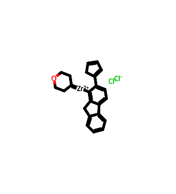 C1=CCC(c2ccc3c([c]2[Zr+2]=[C]2CCOCC2)Cc2ccccc2-3)=C1.[Cl-].[Cl-]